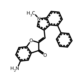 Cn1cc(C=C2Oc3ccc(N)cc3C2=O)c2c(-c3ccccc3)cccc21